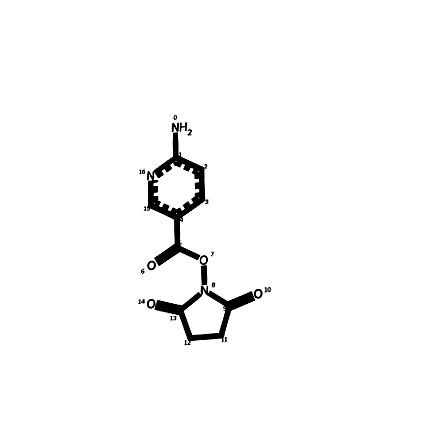 Nc1ccc(C(=O)ON2C(=O)CCC2=O)cn1